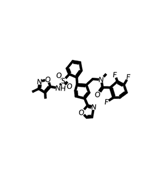 Cc1noc(NS(=O)(=O)c2ccccc2-c2ccc(-c3ncco3)cc2CN(C)C(=O)c2c(F)ccc(F)c2F)c1C